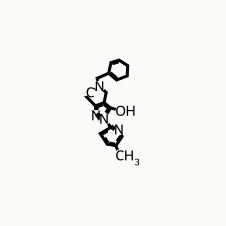 Cc1ccc(-n2nc3c(c2O)CN(CC2=CCCC=C2)CC3)nc1